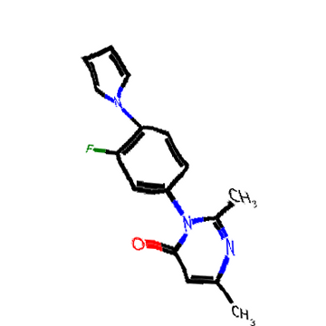 Cc1cc(=O)n(-c2ccc(-n3cccc3)c(F)c2)c(C)n1